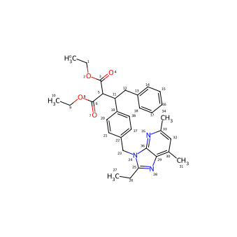 CCOC(=O)C(C(=O)OCC)C(Cc1ccccc1)c1ccc(Cn2c(CC)nc3c(C)cc(C)nc32)cc1